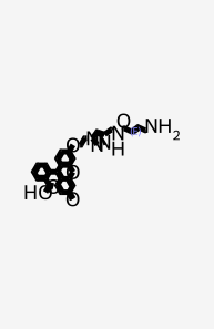 NC/C=C/C(=O)NCc1cn(CCOc2ccc3c(-c4ccccc4C(=O)O)c4ccc(=O)cc-4oc3c2)nn1